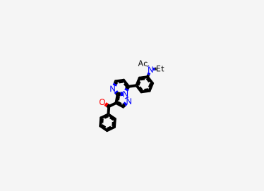 CCN(C(C)=O)c1cccc(-c2ccnc3c(C(=O)c4ccccc4)cnn23)c1